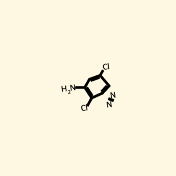 N#N.Nc1cc(Cl)ccc1Cl